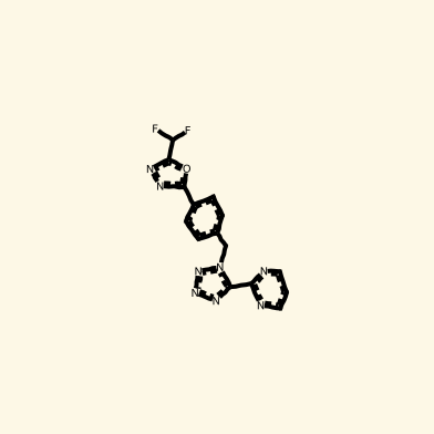 FC(F)c1nnc(-c2ccc(Cn3nnnc3-c3ncccn3)cc2)o1